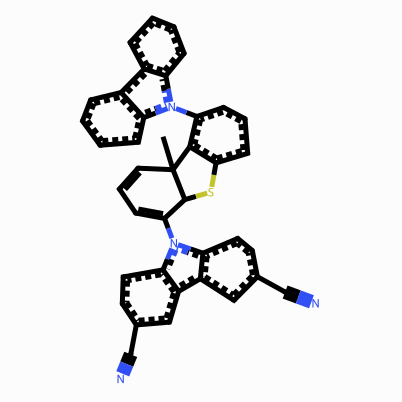 CC12C=CC=C(n3c4ccc(C#N)cc4c4cc(C#N)ccc43)C1Sc1cccc(-n3c4ccccc4c4ccccc43)c12